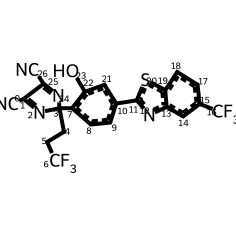 N#CC1=NC(CCC(F)(F)F)(c2ccc(-c3nc4cc(C(F)(F)F)ccc4s3)cc2O)N=C1C#N